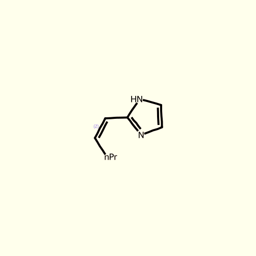 CCC/C=C\c1ncc[nH]1